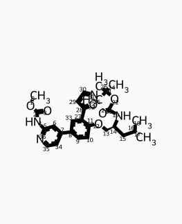 COC(=O)Nc1cc(-c2ccc(OC[C@H](CC(C)C)NC(=O)OC(C)(C)C)c(-c3ccno3)c2)ccn1